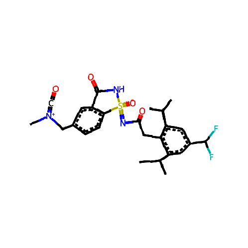 CC(C)c1cc(C(F)F)cc(C(C)C)c1CC(=O)N=S1(=O)NC(=O)c2cc(C[N+](C)=C=O)ccc21